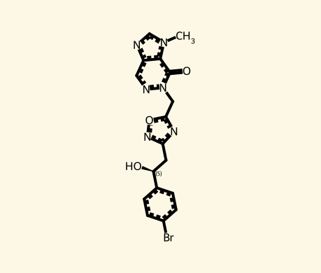 Cn1cnc2cnn(Cc3nc(C[C@H](O)c4ccc(Br)cc4)no3)c(=O)c21